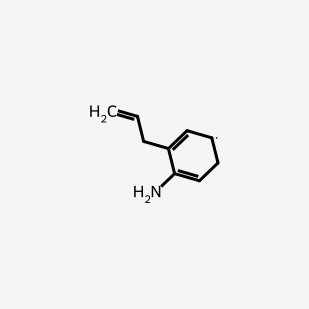 C=CCC1=C[CH]CC=C1N